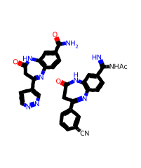 CC(=O)NC(=N)c1ccc2c(c1)NC(=O)CC(c1cccc(C#N)c1)=N2.NC(=O)c1ccc2c(c1)NC(=O)CC(c1ccnnc1)=N2